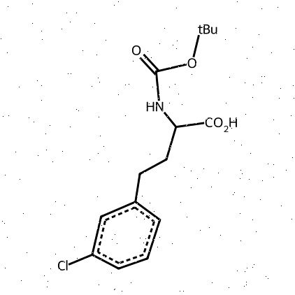 CC(C)(C)OC(=O)NC(CCc1cccc(Cl)c1)C(=O)O